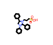 O=S(=O)(O)CCCN1C(c2ccccc2)CN(c2ccccc2)C1c1ccccc1